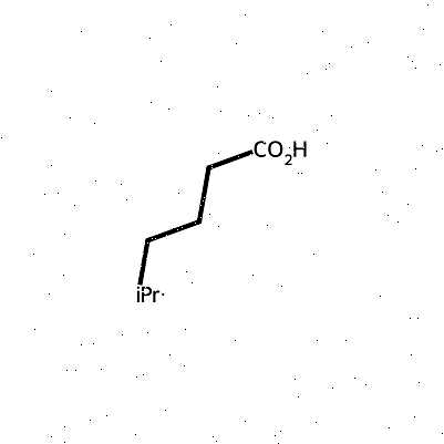 C[C](C)CCCC(=O)O